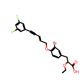 CCOC(Cc1ccc(OCC=CC#Cc2cc(F)cc(F)c2)c(Br)c1)C(=O)O